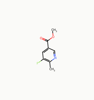 COC(=O)c1cnc(C)c(F)c1